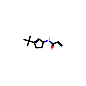 C=CC(=O)NC1C=C(C(C)(C)C)CC1